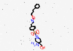 NC1(CO)CCN(S(=O)(=O)c2ccc(C/C=N/OCCCc3ccccc3)cc2)CC1